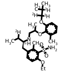 [2H]C(C)[C@H](Cc1ccc(OCC)c(S(N)(=O)=O)c1C)NCC(C)Oc1c(C)cccc1OC([2H])([2H])C([2H])(C)C